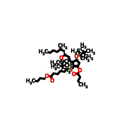 CCCCOC(=O)CCCCCSC1=C(OC(=O)CCC)C[C@@H](O[Si](C)(C)C(C)(C)C)[C@@H]1/C=C/[C@H](C[C@H](C)CCCC)O[Si](C)(C)C(C)(C)C